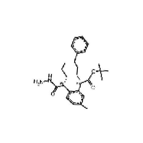 CCC[C@@H](C(=O)NN)c1ccc(C)cc1[C@H](CCCc1ccccc1)C(=O)OC(C)(C)C